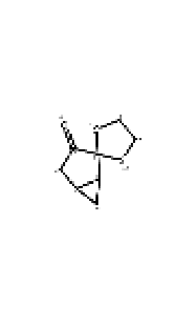 O=C1CC2CC2C12SCCS2